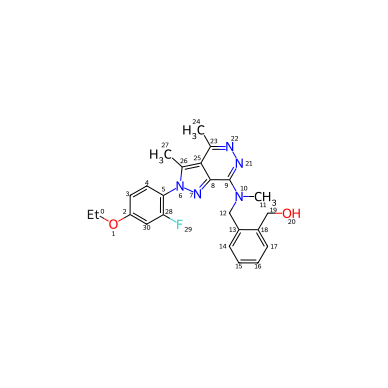 CCOc1ccc(-n2nc3c(N(C)Cc4ccccc4CO)nnc(C)c3c2C)c(F)c1